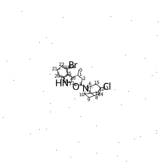 CC(CC(=O)N1C2CC3CC1CC(Cl)(C3)C2)c1c[nH]c2cccc(Br)c12